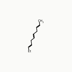 [CH2]CC=CCC=CCC=CC